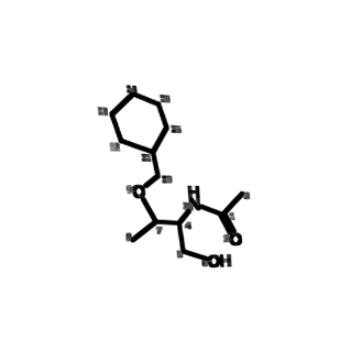 CC(=O)NC(CO)C(C)OCC1CCCCC1